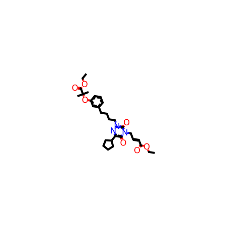 CCOC(=O)C=CCn1c(=O)c(C2CCCC2)nn(CCCCc2cccc(OC(C)(C)C(=O)OCC)c2)c1=O